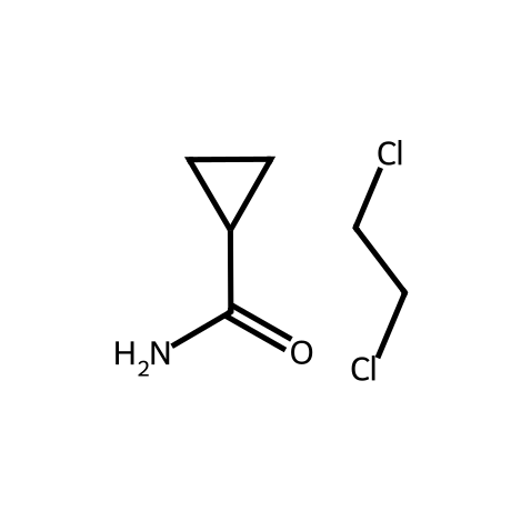 ClCCCl.NC(=O)C1CC1